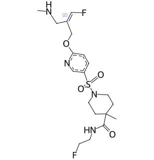 CNC/C(=C/F)COc1ccc(S(=O)(=O)N2CCC(C)(C(=O)NCCF)CC2)cn1